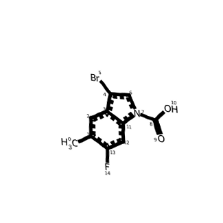 Cc1cc2c(Br)cn(C(=O)O)c2cc1F